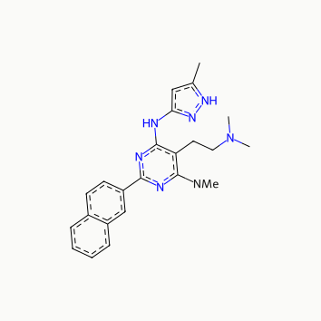 CNc1nc(-c2ccc3ccccc3c2)nc(Nc2cc(C)[nH]n2)c1CCN(C)C